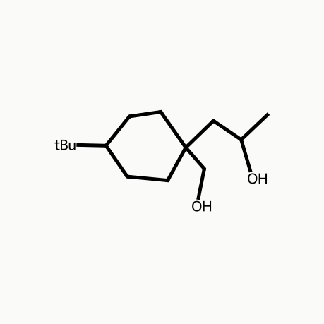 CC(O)CC1(CO)CCC(C(C)(C)C)CC1